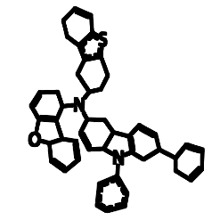 C1=CCC(C2C=CC3=C(C2)N(c2ccccc2)C2C=CC(N(C4CCc5sc6c(c5C4)CCC=C6)C4CC=CC5=C4C4C=CC=CC4O5)CC32)C=C1